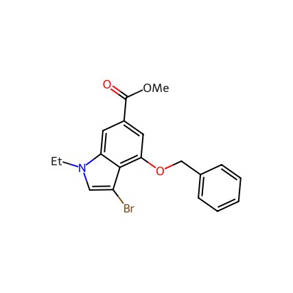 CCn1cc(Br)c2c(OCc3ccccc3)cc(C(=O)OC)cc21